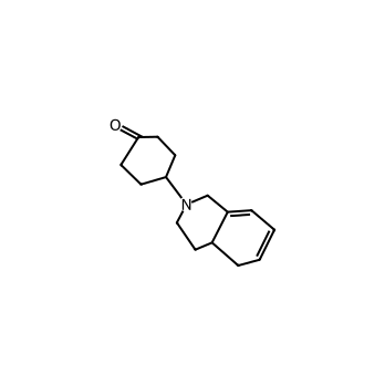 O=C1CCC(N2CCC3CC=CC=C3C2)CC1